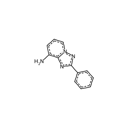 Nc1cccn2nc(-c3ccccc3)nc12